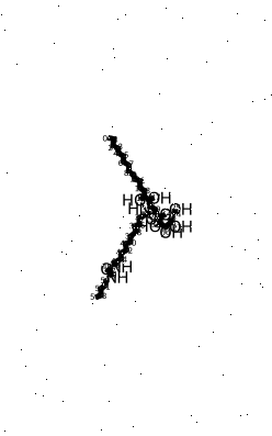 CCCCCCCCCCCCCCC(O)C(O)C(CO[C@H]1O[C@H](CO)[C@H](O)[C@H](O)[C@H]1O)NC(=O)CCCCCCCCCCCNC(=O)NCCCCC